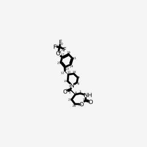 O=C1NC[C@H](C(=O)N2CCC[C@@H](Cc3cccc(OC(F)(F)F)c3)C2)CCO1